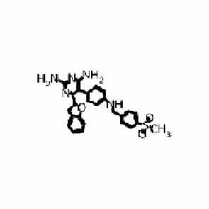 CS(=O)(=O)c1ccc(CNc2ccc(-c3c(N)nc(N)nc3C3Cc4ccccc4O3)cc2)cc1